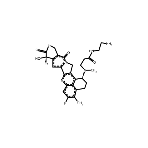 CC[C@@]1(O)C(=O)OCc2c1cc1n(c2=O)Cc2c-1nc1cc(F)c(C)c3c1c2[C@@H](N(C)CCC(=O)NCCN)CC3